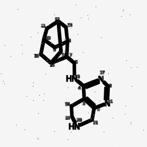 c1nc2c(c(NCC3C4CC5CC(C4)CC3C5)n1)CCNC2